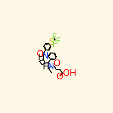 CCN(C(=O)CCC(=O)O)[C@H]1c2ccccc2N(C(=O)c2ccc(SC(F)(F)F)cc2)[C@@H]2CC[C@@H]21